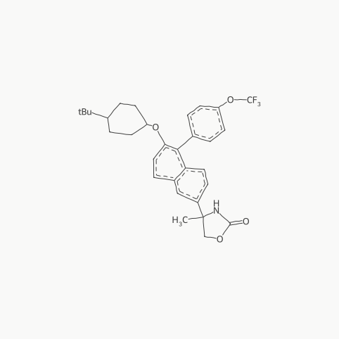 CC1(c2ccc3c(-c4ccc(OC(F)(F)F)cc4)c(OC4CCC(C(C)(C)C)CC4)ccc3c2)COC(=O)N1